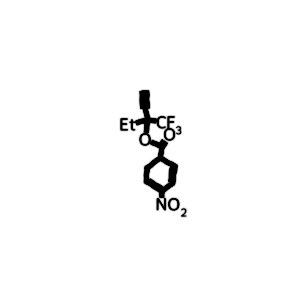 C#CC(CC)(OC(=O)C1C=CC([N+](=O)[O-])=CC1)C(F)(F)F